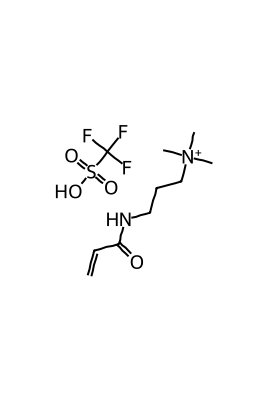 C=CC(=O)NCCC[N+](C)(C)C.O=S(=O)(O)C(F)(F)F